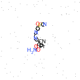 CCC[C@H](CC(C#N)(c1ccccc1)C1CCN(CC2CN(c3ccc([S+]([O-])c4ccncc4)cc3)C2)CC1)OC(N)=O